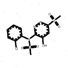 CS(=O)(=O)c1cc(O)c(N(c2ccccc2Cl)S(C)(=O)=O)nn1